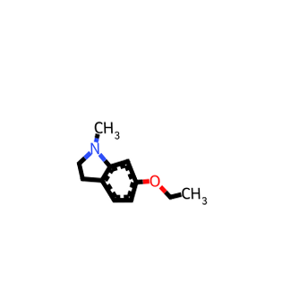 CCOc1ccc2c(c1)N(C)CC2